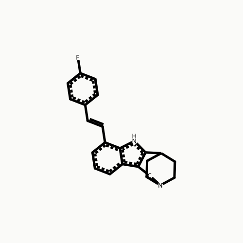 Fc1ccc(/C=C/c2cccc3c4c([nH]c23)C2CCN(CC2)C4)cc1